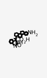 CC(C(=O)O)(C1=c2ccc3c(c2CCC1)CC=c1cc(N)ccc1=3)C1NC(=O)N=Cc2ccccc21